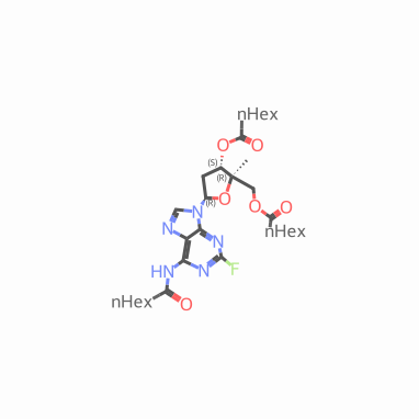 CCCCCCC(=O)Nc1nc(F)nc2c1ncn2[C@H]1C[C@H](OC(=O)CCCCCC)[C@@](C)(COC(=O)CCCCCC)O1